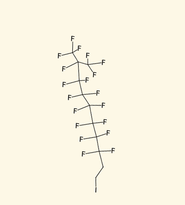 FC(F)(F)C(F)(C(F)(F)F)C(F)(F)C(F)(F)C(F)(F)C(F)(F)C(F)(F)C(F)(F)CCI